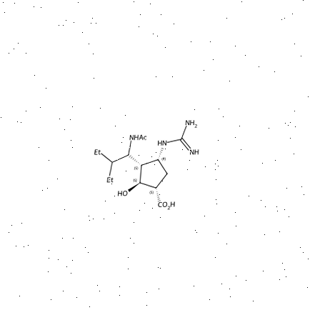 CCC(CC)C(NC(C)=O)[C@H]1[C@H](O)[C@@H](C(=O)O)C[C@H]1NC(=N)N